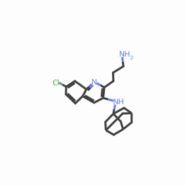 NCCCc1nc2cc(Cl)ccc2cc1NC12CC3CC(CC(C3)C1)C2